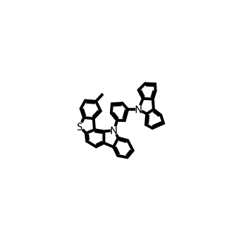 Cc1ccc2sc3ccc4c5ccccc5n(-c5cccc(-n6c7ccccc7c7ccccc76)c5)c4c3c2c1